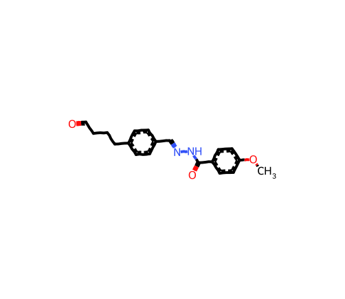 COc1ccc(C(=O)NN=Cc2ccc(CCCC=O)cc2)cc1